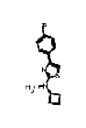 CC(C)c1ccc(-c2csc(N(C)C3CCC3)n2)cc1